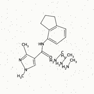 CN.CN.CN.Cc1nn(C)cc1C(=O)Nc1cccc2c1CCC2